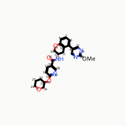 COc1ncc(-c2cccc3c2C[C@H](NC(=O)c2ccc(OC4CCCOC4)nc2)CO3)cn1